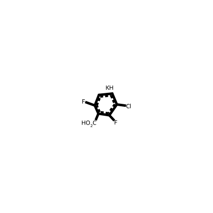 O=C(O)c1c(F)ccc(Cl)c1F.[KH]